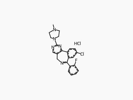 CN1CCN(c2ncc3c(n2)-c2ccc(Cl)cc2C(c2ccccc2F)=NC3)CC1.Cl